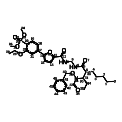 CCCCC[C@@H](C(=O)NCNC(=O)c1ccc(-c2ccc(P(=O)(OC)OC)c(OCC)c2)o1)[C@@H](CC)N(C=O)OCc1ccccc1